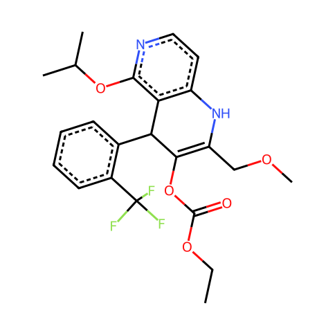 CCOC(=O)OC1=C(COC)Nc2ccnc(OC(C)C)c2C1c1ccccc1C(F)(F)F